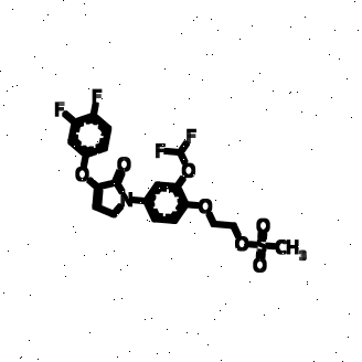 CS(=O)(=O)OCCOc1ccc(N2CC=C(Oc3ccc(F)c(F)c3)C2=O)cc1OC(F)F